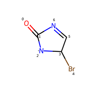 O=C1[N]C(Br)C=N1